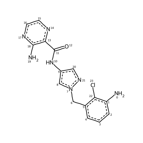 Nc1cccc(Cn2cc(NC(=O)c3nccnc3N)cn2)c1Cl